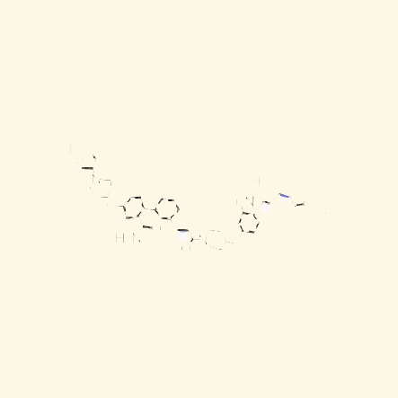 C=C/C=C\C=C(/C)c1ccc(OC2CCN(C(=O)/C=C/c3cccc(-c4ccc(OC5CCN(C(=O)C=C)CC5)cc4C(N)=O)c3)CC2)cc1C#N